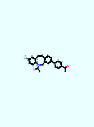 CC(=O)c1ccc(-c2ccc3c(c2)CN(C(C)=O)c2ccc(Cl)cc2C=C3)cc1